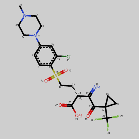 CN1CCN(c2ccc(S(=O)(=O)CC[C@H](C(=N)C(=O)C3(C(F)(F)F)CC3)C(=O)O)c(Cl)c2)CC1